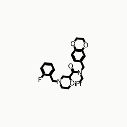 CC(C)CN(Cc1ccc2c(c1)OCCO2)C(=O)C1CN(Cc2ccccc2F)CCO1